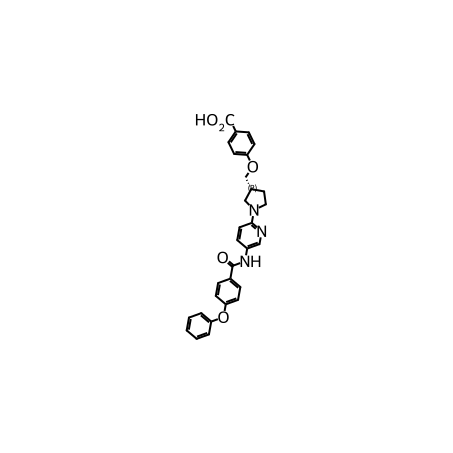 O=C(O)c1ccc(OC[C@@H]2CCN(c3ccc(NC(=O)c4ccc(Oc5ccccc5)cc4)cn3)C2)cc1